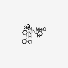 COc1cccnc1CNC1=NS(=O)(=O)c2cccc(Cc3ccccc3Cl)c2N1